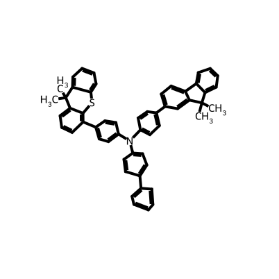 CC1(C)c2ccccc2-c2ccc(-c3ccc(N(c4ccc(-c5ccccc5)cc4)c4ccc(-c5cccc6c5Sc5ccccc5C6(C)C)cc4)cc3)cc21